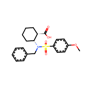 COc1ccc(S(=O)(=O)N(Cc2ccccc2)[C@@H]2CCCC[C@@H]2C(=O)O)cc1